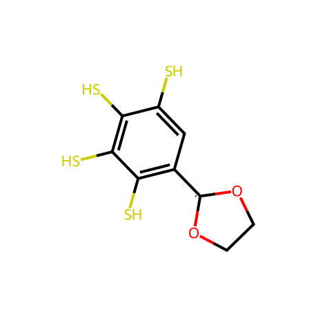 Sc1cc([C]2OCCO2)c(S)c(S)c1S